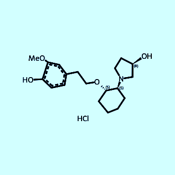 COc1cc(CCO[C@H]2CCCC[C@@H]2N2CC[C@@H](O)C2)ccc1O.Cl